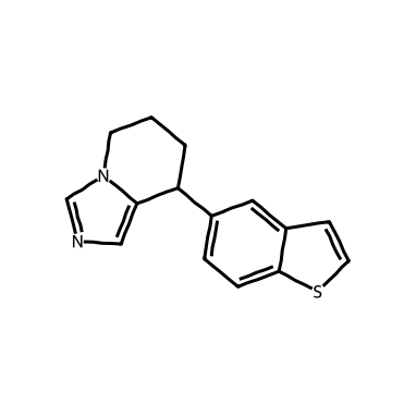 c1cc2cc(C3CCCn4cncc43)ccc2s1